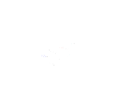 FC(F)OC1CCCNC1